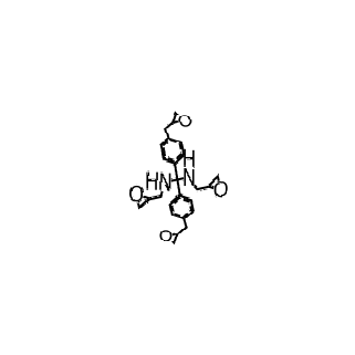 c1cc(C(NCC2CO2)(NCC2CO2)c2ccc(CC3CO3)cc2)ccc1CC1CO1